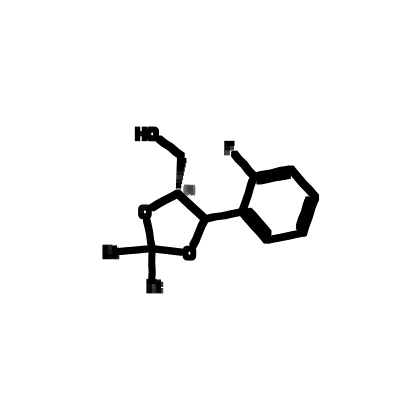 CCC1(CC)OC(c2ccccc2F)[C@@H](CO)O1